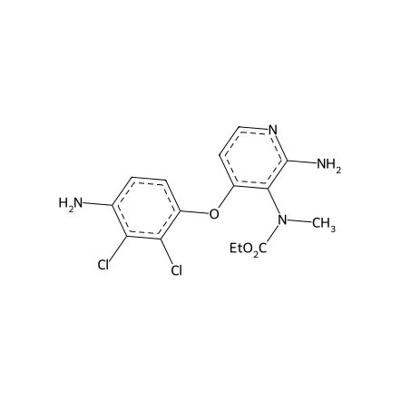 CCOC(=O)N(C)c1c(Oc2ccc(N)c(Cl)c2Cl)ccnc1N